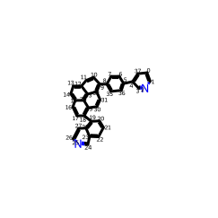 c1cncc(-c2ccc(-c3ccc4ccc5ccc(-c6cccc7cnccc67)c6ccc3c4c56)cc2)c1